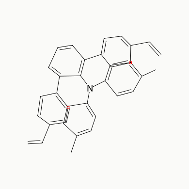 C=Cc1ccc(-c2cccc(-c3ccc(C=C)cc3)c2N(c2ccc(C)cc2)c2ccc(C)cc2)cc1